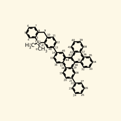 C[Si]1(C)c2ccccc2Cc2ccc(-c3ccc4c5ccc(-c6ccccc6)cc5c5c6ccccc6c6ccccc6c5c4c3)cc21